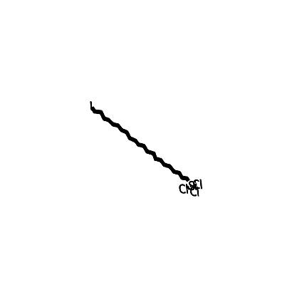 Cl[Si](Cl)(Cl)CCCCCCCCCCCCCCCCCCCCCCI